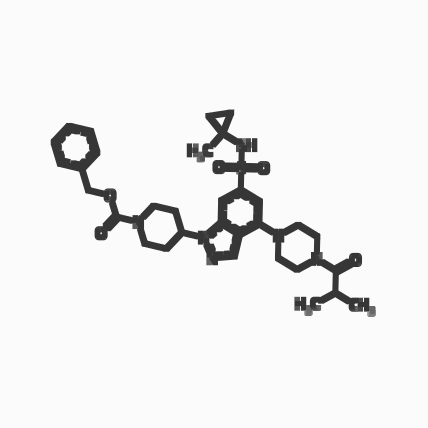 CC(C)C(=O)N1CCN(c2cc(S(=O)(=O)NC3(C)CC3)cc3c2cnn3C2CCN(C(=O)OCc3ccccc3)CC2)CC1